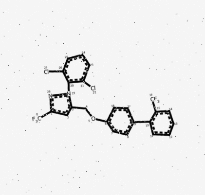 FC(F)(F)c1cc(COc2ccc(-c3ccccc3C(F)(F)F)cc2)n(-c2c(Cl)cccc2Cl)n1